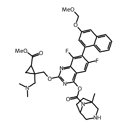 COCOc1cc(-c2c(F)cc3c(OC(=O)N4C5CCC4(C)CNC5)nc(OCC4(CN(C)C)CC4C(=O)OC)nc3c2F)c2ccccc2c1